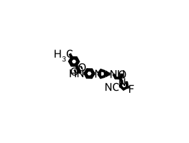 Cc1ccc(S(=O)(=O)Nc2ccc(N3CC4C(C3)C4NCC(=O)N3CC(F)CC3C#N)cc2)cc1